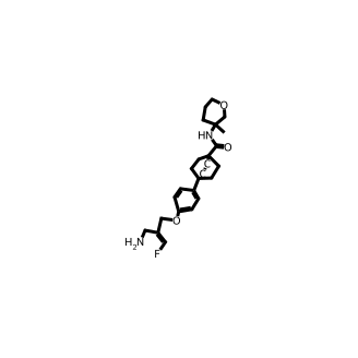 CC1(NC(=O)C23CCC(c4ccc(OCC(=CF)CN)cc4)(CC2)CC3)CCCOC1